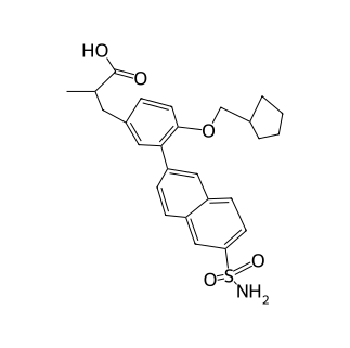 CC(Cc1ccc(OCC2CCCC2)c(-c2ccc3cc(S(N)(=O)=O)ccc3c2)c1)C(=O)O